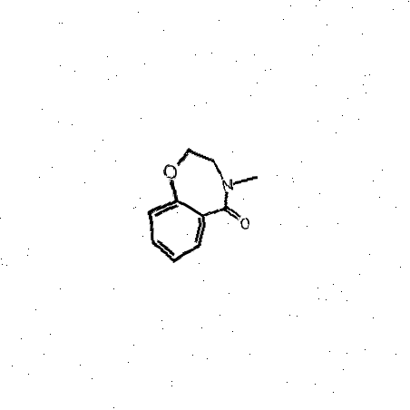 CN1CCOc2ccccc2C1=O